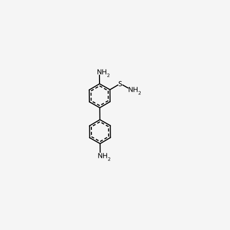 NSc1cc(-c2ccc(N)cc2)ccc1N